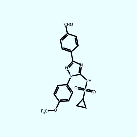 O=Cc1ccc(-c2nc(NS(=O)(=O)C3CC3)n(-c3ccc(OC(F)(F)F)cc3)n2)cc1